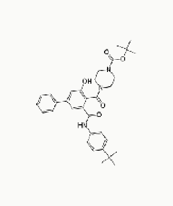 CC(C)(C)OC(=O)N1CCN(C(=O)c2c(O)cc(-c3ccccc3)cc2C(=O)Nc2ccc(C(C)(C)C)cc2)CC1